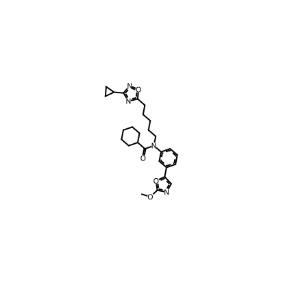 COc1ncc(-c2cccc(N(CCCCCc3nc(C4CC4)no3)C(=O)C3CCCCC3)c2)o1